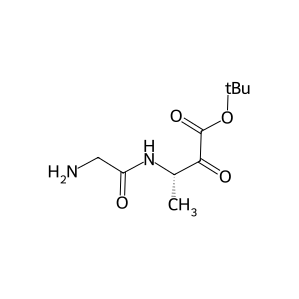 C[C@H](NC(=O)CN)C(=O)C(=O)OC(C)(C)C